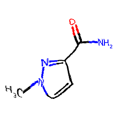 Cn1ccc(C(N)=O)n1